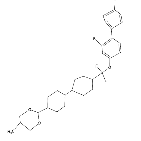 CC1COC(C2CCC(C3CCC(C(F)(F)Oc4ccc(-c5ccc(F)cc5)c(F)c4)CC3)CC2)OC1